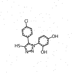 Oc1ccc(-n2nnc(S)c2-c2ccc(Cl)cc2)c(O)c1